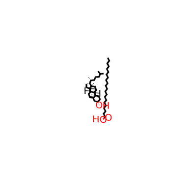 CC(C)CCC[C@@H](C)[C@H]1CC[C@H]2[C@@H]3CC=C4C[C@@H](O)CC[C@]4(C)[C@H]3CC[C@]12C.CCCCCCCCCCCCCCCCCCCCCC(=O)O